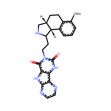 COc1cccc2c1CC[C@H]1CNC(CCn3c(=O)[nH]c4c([nH]c5nccnc54)c3=O)[C@@H]21